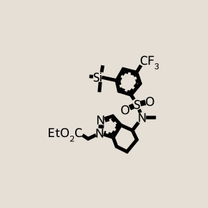 CCOC(=O)Cn1ncc2c1CCCC2N(C)S(=O)(=O)c1cc(C(F)(F)F)cc([Si](C)(C)C)c1